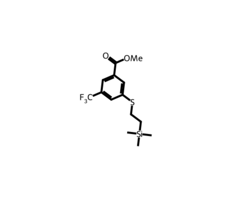 COC(=O)c1cc(SCC[Si](C)(C)C)cc(C(F)(F)F)c1